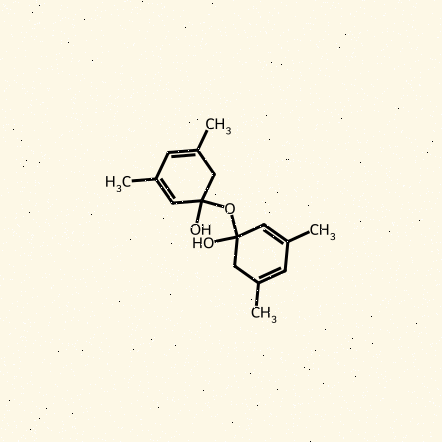 CC1=CC(O)(OC2(O)C=C(C)C=C(C)C2)CC(C)=C1